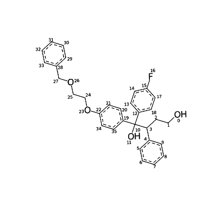 OCCC(c1ccccc1)C(O)(c1ccc(F)cc1)c1ccc(OCCOCc2ccccc2)cc1